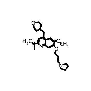 CNc1cc(CC2CCOCC2)c2cc(OC)c(OCCCN3CCCC3)cc2n1